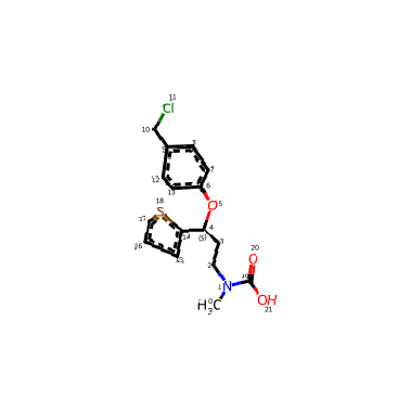 CN(CC[C@H](Oc1ccc(CCl)cc1)c1cccs1)C(=O)O